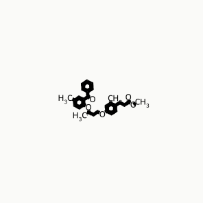 COC(=O)CCc1ccc(OCC[C@@H](C)Oc2ccc(C)cc2C(=O)c2ccccc2)cc1C